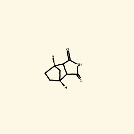 O=C1NC(=O)C2C1[C@@H]1CC[C@H]2C1